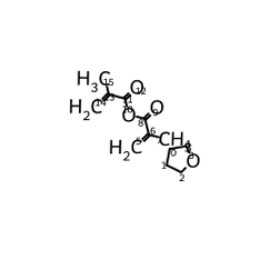 C1CCOC1.C=C(C)C(=O)OC(=O)C(=C)C